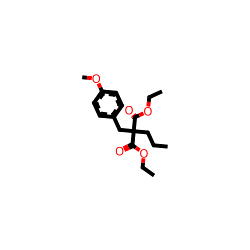 CCCC(Cc1ccc(OC)cc1)(C(=O)OCC)C(=O)OCC